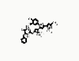 Cc1cc(-c2cc([C@@H]3C[C@H](CC(=O)N[C@@H](Cc4ccccc4)C(N)=O)C3(C)C)n(-c3ccc(Cl)c(Cl)c3)n2)n(C)n1